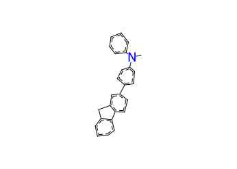 CN(c1ccccc1)c1ccc(-c2ccc3c(c2)Cc2ccccc2-3)cc1